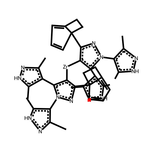 Cc1n[nH]c(C)c1-c1[c]([Zr][c]2c(C34C=CC=C3CC4)nn(-c3c(C)n[nH]c3C)c2-c2c(C)n[nH]c2C)c(C23C=CC=C2CC3)nn1-c1c(C)n[nH]c1C